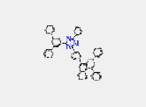 C1=C(c2ccccc2)c2c(c(-c3ccc(-c4nc(-c5ccccc5)nc(-c5cc(-c6ccccc6)cc(-c6ccccc6)c5)n4)cc3)cc3ccccc23)CC1c1ccccc1